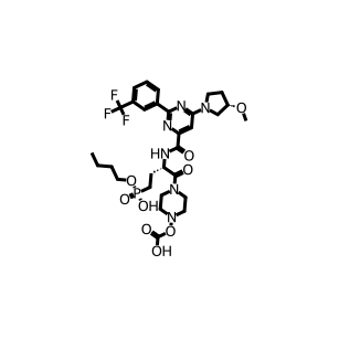 CCCCOP(=O)(O)CC[C@H](NC(=O)c1cc(N2CC[C@H](OC)C2)nc(-c2cccc(C(F)(F)F)c2)n1)C(=O)N1CCN(OC(=O)O)CC1